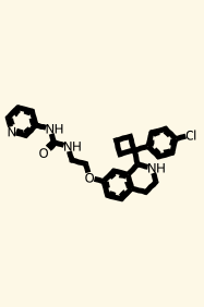 O=C(NCCOc1ccc2c(c1)C(C1(c3ccc(Cl)cc3)CCC1)NCC2)Nc1cccnc1